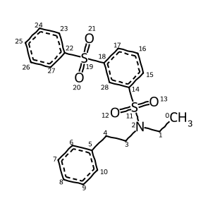 CCN(CCc1ccccc1)S(=O)(=O)c1cccc(S(=O)(=O)c2ccccc2)c1